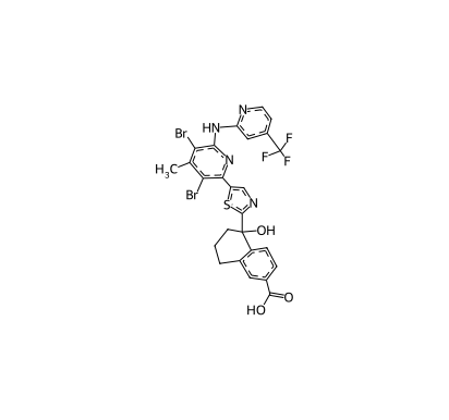 Cc1c(Br)c(Nc2cc(C(F)(F)F)ccn2)nc(-c2cnc(C3(O)CCCc4cc(C(=O)O)ccc43)s2)c1Br